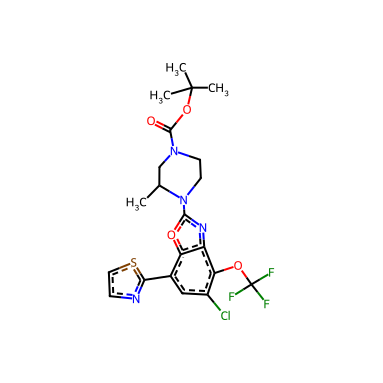 CC1CN(C(=O)OC(C)(C)C)CCN1c1nc2c(OC(F)(F)F)c(Cl)cc(-c3nccs3)c2o1